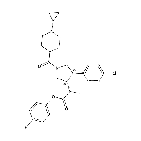 CN(C(=O)Oc1ccc(F)cc1)[C@@H]1CN(C(=O)C2CCN(C3CC3)CC2)C[C@H]1c1ccc(Cl)cc1